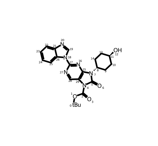 CC(C)(C)OC(=O)n1c(=O)n([C@H]2CC[C@H](O)CC2)c2nc(-n3cnc4ccccc43)ncc21